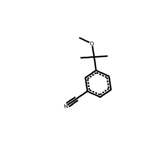 COC(C)(C)c1cccc(C#N)c1